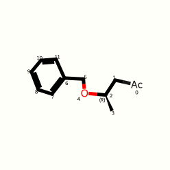 CC(=O)C[C@@H](C)OCc1ccccc1